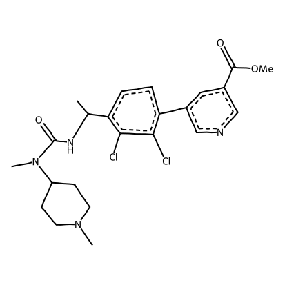 COC(=O)c1cncc(-c2ccc(C(C)NC(=O)N(C)C3CCN(C)CC3)c(Cl)c2Cl)c1